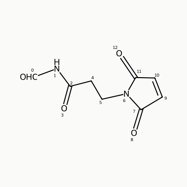 O=CNC(=O)CCN1C(=O)C=CC1=O